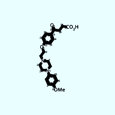 COc1ccc(N2CCN(CCOc3ccc(C(=O)CCC(=O)O)cc3)CC2)cc1